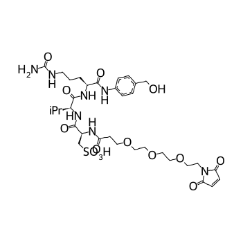 CC(C)[C@H](NC(=O)[C@H](CS(=O)(=O)O)NC(=O)CCOCCOCCOCCN1C(=O)C=CC1=O)C(=O)N[C@@H](CCCNC(N)=O)C(=O)Nc1ccc(CO)cc1